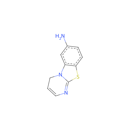 Nc1ccc2c(c1)N1CC=CN=C1S2